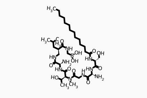 CCCCCCCCCCCCCC(=O)N[C@H](CO)C(=O)N[C@H](N)C(=O)NCC(=O)N(C)[C@H](C(=O)N[C@@H](N)C(=O)NC[C@@H](CC(C)C)C(=O)NCB(O)O)C(C)O